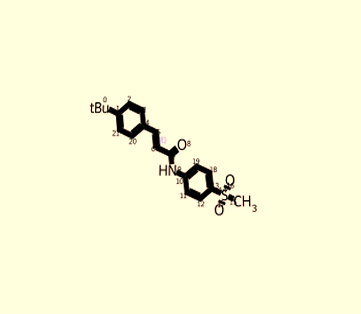 CC(C)(C)c1ccc(/C=C/C(=O)Nc2ccc(S(C)(=O)=O)cc2)cc1